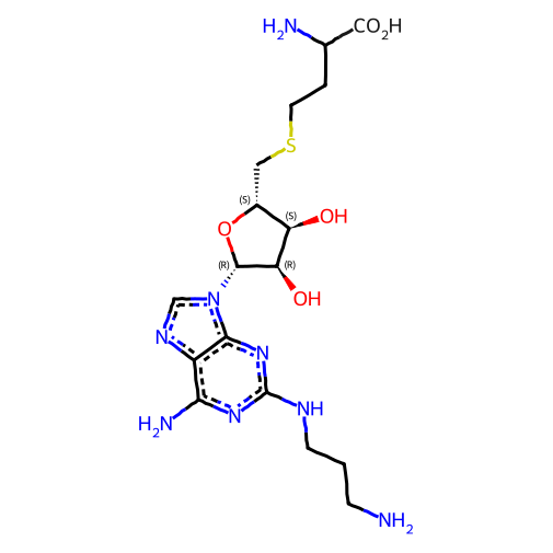 NCCCNc1nc(N)c2ncn([C@@H]3O[C@H](CSCCC(N)C(=O)O)[C@@H](O)[C@H]3O)c2n1